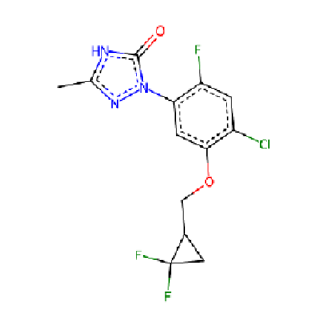 Cc1nn(-c2cc(OCC3CC3(F)F)c(Cl)cc2F)c(=O)[nH]1